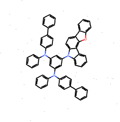 c1ccc(-c2ccc(N(c3ccccc3)c3cc(N(c4ccccc4)c4ccc(-c5ccccc5)cc4)cc(-n4c5ccccc5c5c6oc7ccccc7c6ccc54)c3)cc2)cc1